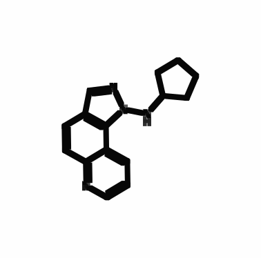 c1cnc2ccc3cnn(NC4CCCC4)c3c2c1